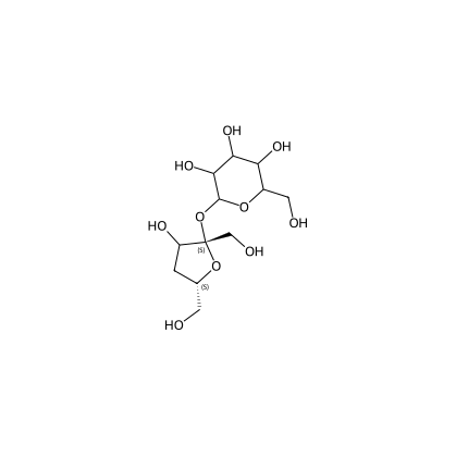 OCC1OC(O[C@]2(CO)O[C@H](CO)CC2O)C(O)C(O)C1O